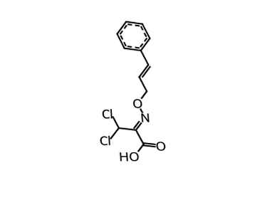 O=C(O)C(=NOCC=Cc1ccccc1)C(Cl)Cl